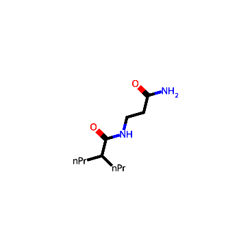 CCCC(CCC)C(=O)NCCC(N)=O